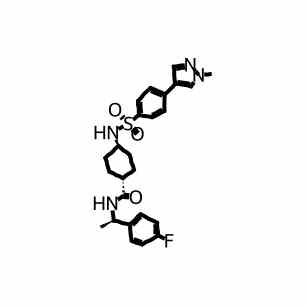 C[C@@H](NC(=O)[C@H]1CC[C@H](NS(=O)(=O)c2ccc(-c3cnn(C)c3)cc2)CC1)c1ccc(F)cc1